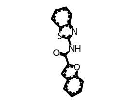 O=C(Nc1nc2ccccc2s1)c1cc2ccccc2o1